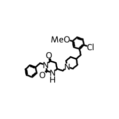 COc1ccc(Cl)c(CC2CCN(CC3CC(=O)N(Cc4ccccc4)C(=O)N3)CC2)c1